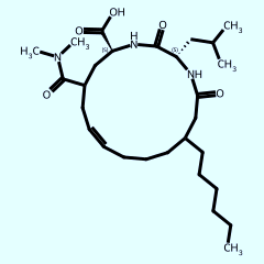 CCCCCCC1CCCC=CCC(C(=O)N(C)C)C[C@@H](C(=O)O)NC(=O)[C@H](CC(C)C)NC(=O)C1